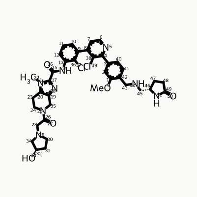 COc1cc(-c2nccc(-c3cccc(NC(=O)c4nc5c(n4C)CCN(C(=O)CN4CC[C@@H](O)C4)C5)c3Cl)c2Cl)ccc1CNC[C@@H]1CCC(=O)N1